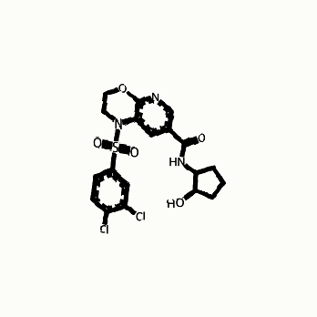 O=C(NC1CCCC1O)c1cnc2c(c1)N(S(=O)(=O)c1ccc(Cl)c(Cl)c1)CCO2